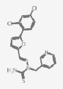 NC(=S)N(Cc1cccnc1)N=Cc1ccc(-c2ccc(Cl)cc2Cl)o1